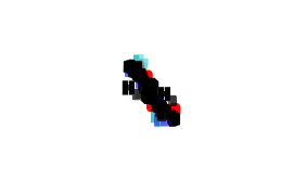 Cc1c(-c2nc3cc(COC(=O)[C@@H]4CCCN4)c(OC(F)F)cc3o2)cccc1-c1cccc(-c2nc3cc(CN4CCCC4)c(OC(F)F)cc3o2)c1C